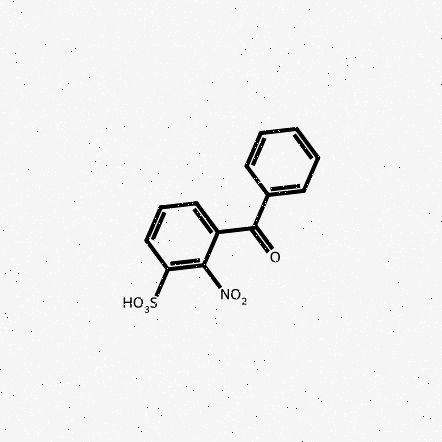 O=C(c1ccccc1)c1cccc(S(=O)(=O)O)c1[N+](=O)[O-]